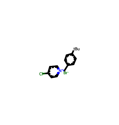 CC(C)(C)c1ccc(C[n+]2ccc(Cl)cc2)cc1.[Br-]